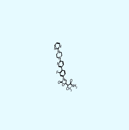 CC(C(N)=O)C1CN(c2ccc(-c3ccc(N4CCN(c5ncccn5)CC4)nc3)c(F)c2)C(=O)O1